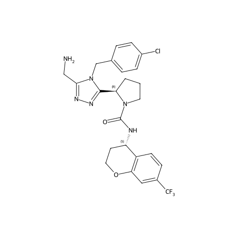 NCc1nnc([C@H]2CCCN2C(=O)N[C@H]2CCOc3cc(C(F)(F)F)ccc32)n1Cc1ccc(Cl)cc1